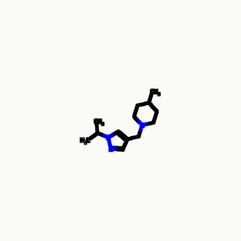 CC1CCN(Cc2cnn(C(C)C)c2)CC1